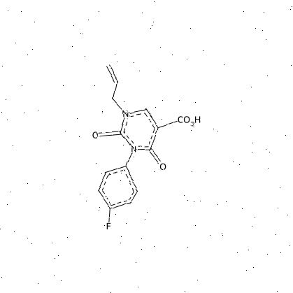 C=CCn1cc(C(=O)O)c(=O)n(-c2ccc(F)cc2)c1=O